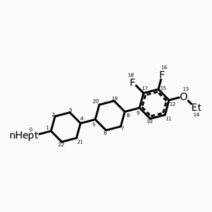 CCCCCCCC1CCC(C2CCC(c3ccc(OCC)c(F)c3F)CC2)CC1